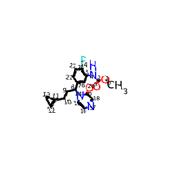 COC(=O)Nc1cc(C(CCC2CC2)n2ccncc2=O)ccc1F